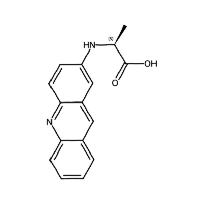 C[C@H](Nc1ccc2nc3ccccc3cc2c1)C(=O)O